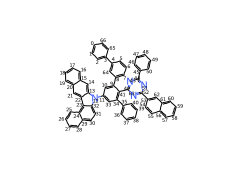 c1ccc(-c2cccc(-c3cc(-n4c5cc6ccccc6cc5c5c6ccccc6ccc54)cc(-c4ccccc4)c3-c3nc(-c4ccccc4)nc(-c4ccc5ccccc5c4)n3)c2)cc1